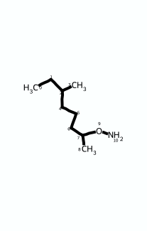 CCC(C)CCCC(C)ON